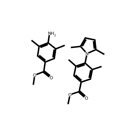 COC(=O)c1cc(C)c(-n2c(C)ccc2C)c(C)c1.COC(=O)c1cc(C)c(N)c(C)c1